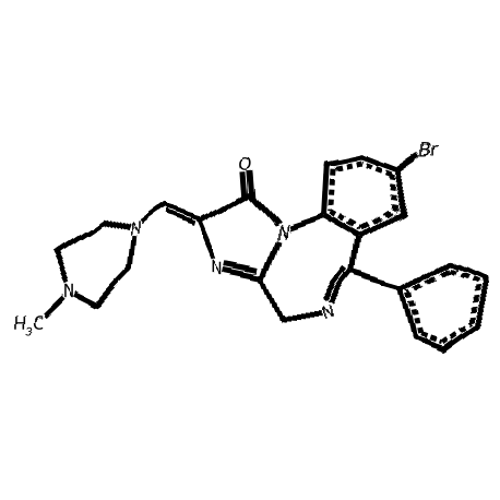 CN1CCN(/C=C2\N=C3CN=C(c4ccccc4)c4cc(Br)ccc4N3C2=O)CC1